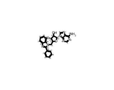 Nc1ncnc2c1ncn2[C@@H]1OC(Cn2c(-c3ccccc3)nc3ccccc32)[C@@H](O)C1O